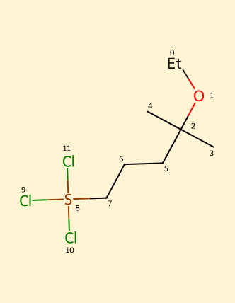 CCOC(C)(C)CCCS(Cl)(Cl)Cl